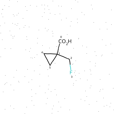 O=C(O)C1(CF)CC1